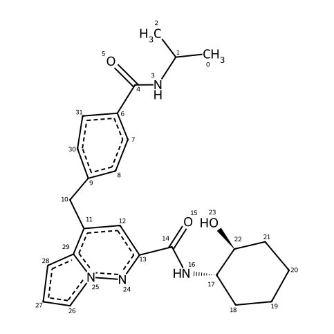 CC(C)NC(=O)c1ccc(Cc2cc(C(=O)N[C@H]3CCCC[C@@H]3O)nn3cccc23)cc1